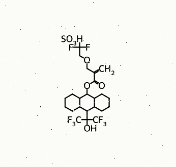 C=C(COCC(F)(F)S(=O)(=O)O)C(=O)OC1C2CCCCC2C(C(O)(C(F)(F)F)C(F)(F)F)C2CCCCC21